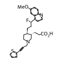 COc1ccc2nccc([C@H](F)CC[C@@H]3CCN(CC#Cc4cccs4)C[C@H]3CCC(=O)O)c2c1